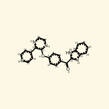 O=C(c1ccc(Oc2nccnc2-c2ccncc2)cc1)c1nc2ccccc2[nH]1